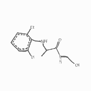 CCc1cccc(CC)c1NC(C)C(=O)NCC#N